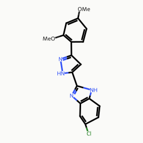 COc1ccc(-c2cc(-c3nc4cc(Cl)ccc4[nH]3)[nH]n2)c(OC)c1